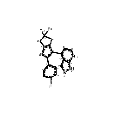 Fc1ccc(-c2nn3c(c2-c2ccnc4[nH]ncc24)CC(F)(F)C3)cc1